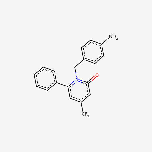 O=c1cc(C(F)(F)F)cc(-c2ccccc2)n1Cc1ccc([N+](=O)[O-])cc1